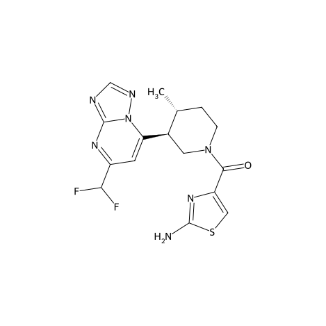 C[C@@H]1CCN(C(=O)c2csc(N)n2)C[C@H]1c1cc(C(F)F)nc2ncnn12